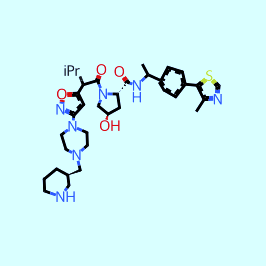 Cc1ncsc1-c1ccc(C(C)NC(=O)[C@@H]2C[C@@H](O)CN2C(=O)C(c2cc(N3CCN(C[C@@H]4CCCNC4)CC3)no2)C(C)C)cc1